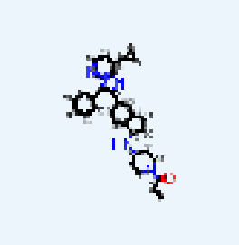 C=CC(=O)N1CCC(N[C@H]2CCc3cc(-c4nc5c(C6CC6)ccnn5c4-c4ccccc4)ccc32)CC1